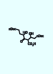 CCCCCCCCCCCCC(O)C(=O)C(C(=O)O)C(O)CCCCCCCCCCC